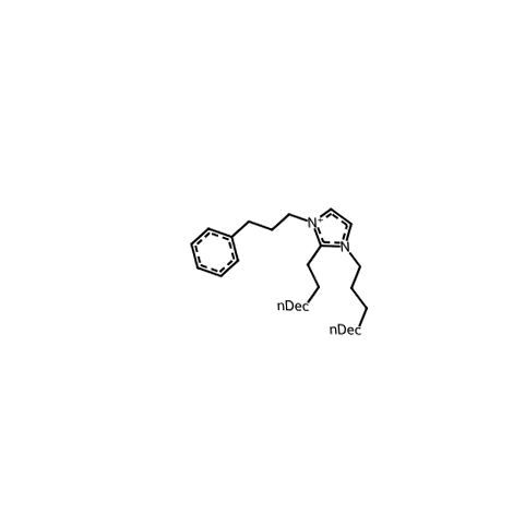 CCCCCCCCCCCCCn1cc[n+](CCCc2ccccc2)c1CCCCCCCCCCCC